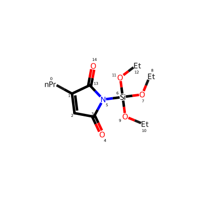 CCCC1=CC(=O)N([Si](OCC)(OCC)OCC)C1=O